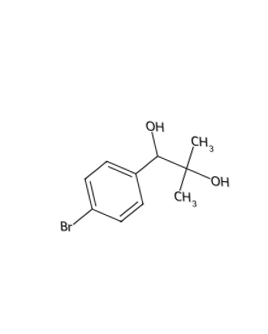 CC(C)(O)C(O)c1ccc(Br)cc1